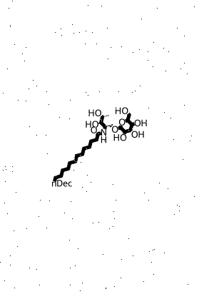 CCCCCCCCCCCCCCCCCCCCCCC(=O)N[C@@H](COC1OC(CO)C(O)C(O)C1O)[C@H](O)[C@@H](C)O